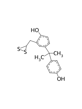 CC(C)(c1ccc(O)cc1)c1ccc(O)c(CC2SS2)c1